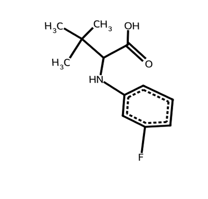 CC(C)(C)C(Nc1cccc(F)c1)C(=O)O